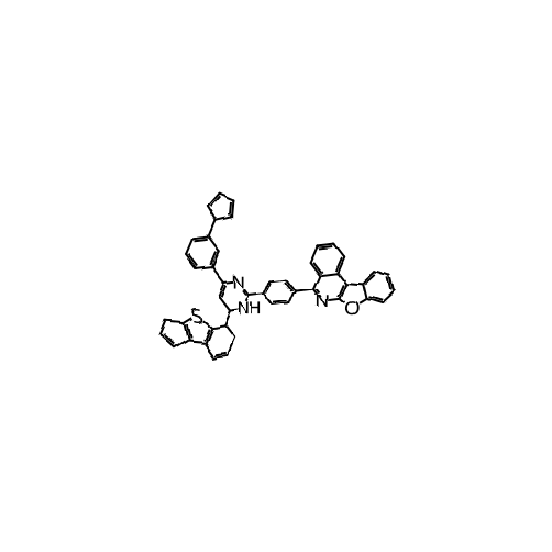 C1=CC(c2cccc(C3=CC(C4CC=Cc5c4sc4c5C=CC4)NC(c4ccc(-c5nc6oc7ccccc7c6c6ccccc56)cc4)=N3)c2)C=C1